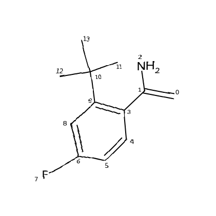 C=C(N)c1ccc(F)cc1C(C)(C)C